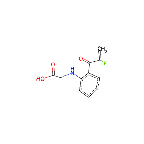 C=C(F)C(=O)c1ccccc1NCC(=O)O